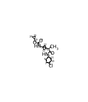 CC(C(=O)Nc1ccc(Cl)cc1)C12CC(NC(=O)OC3CC3)(C1)C2